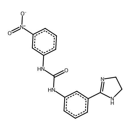 O=C(Nc1cccc(C2=NCCN2)c1)Nc1cccc([N+](=O)[O-])c1